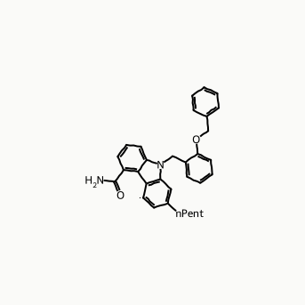 CCCCCc1c[c]c2c3c(C(N)=O)cccc3n(Cc3ccccc3OCc3ccccc3)c2c1